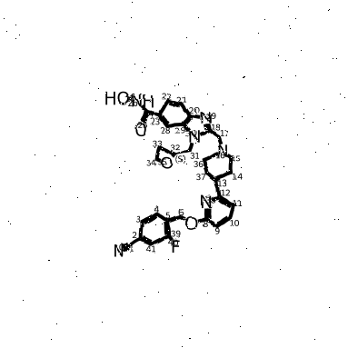 N#Cc1ccc(COc2cccc(C3CCN(Cc4nc5ccc(C(=O)NO)cc5n4C[C@@H]4CCO4)CC3)n2)c(F)c1